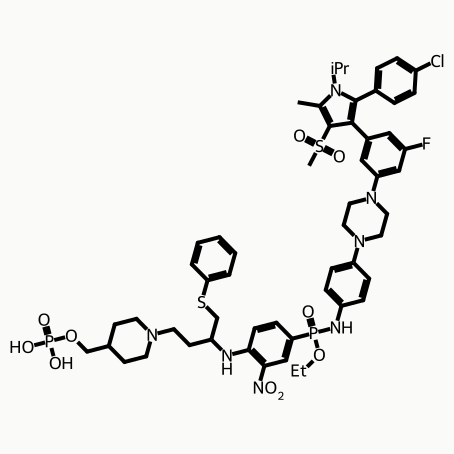 CCOP(=O)(Nc1ccc(N2CCN(c3cc(F)cc(-c4c(S(C)(=O)=O)c(C)n(C(C)C)c4-c4ccc(Cl)cc4)c3)CC2)cc1)c1ccc(NC(CCN2CCC(COP(=O)(O)O)CC2)CSc2ccccc2)c([N+](=O)[O-])c1